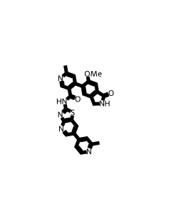 COc1cc2c(cc1-c1cc(C)ncc1C(=O)Nc1nc3ncc(-c4ccnc(C)c4)cc3s1)CNC2=O